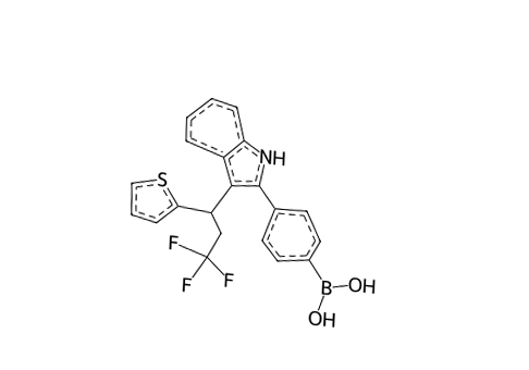 OB(O)c1ccc(-c2[nH]c3ccccc3c2C(CC(F)(F)F)c2cccs2)cc1